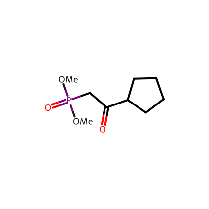 COP(=O)(CC(=O)C1CCCC1)OC